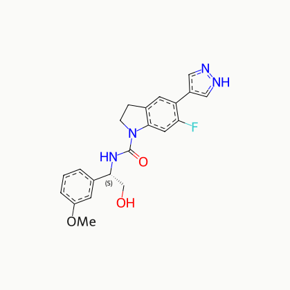 COc1cccc([C@@H](CO)NC(=O)N2CCc3cc(-c4cn[nH]c4)c(F)cc32)c1